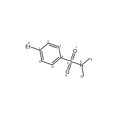 CCc1ccc(S(=O)(=O)N(C)C)cc1